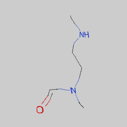 CNCCN(C)C=O